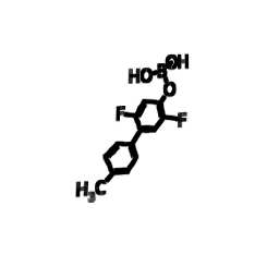 Cc1ccc(-c2cc(F)c(OB(O)O)cc2F)cc1